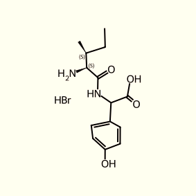 Br.CC[C@H](C)[C@H](N)C(=O)NC(C(=O)O)c1ccc(O)cc1